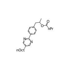 CCCCCCCCc1cnc(-c2ccc(CC(C)OC(=O)CCC)cc2)nc1